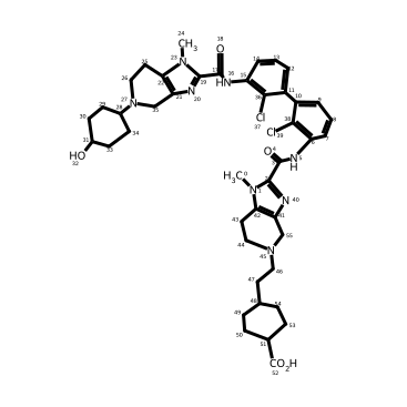 Cn1c(C(=O)Nc2cccc(-c3cccc(NC(=O)c4nc5c(n4C)CCN(C4CCC(O)CC4)C5)c3Cl)c2Cl)nc2c1CCN(CCC1CCC(C(=O)O)CC1)C2